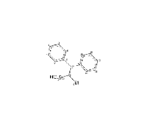 [CH2]CC(C(c1ccccc1)c1ccccc1)S(=O)(=O)O